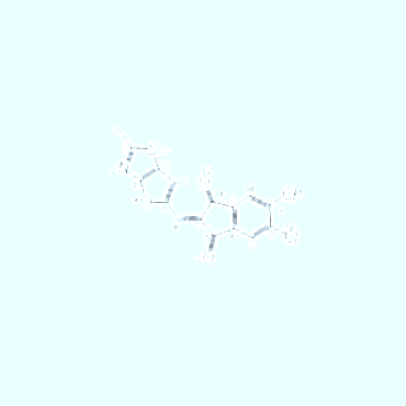 Cc1nc2oc(C=C3C(=O)c4cc(Cl)c(Cl)cc4C3=O)cc2s1